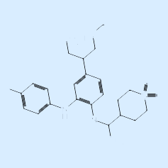 CC(C)OCC(CC(=O)O)c1ccc(NC(C)C2CCS(=O)(=O)CC2)c(Nc2ccc(F)cc2)c1